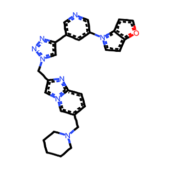 c1cc2c(ccn2-c2cncc(-c3cn(Cc4cn5cc(CN6CCCCC6)ccc5n4)nn3)c2)o1